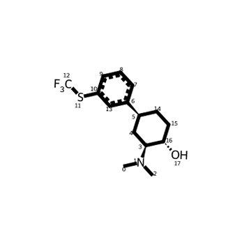 CN(C)[C@H]1C[C@@H](c2cccc(SC(F)(F)F)c2)CC[C@@H]1O